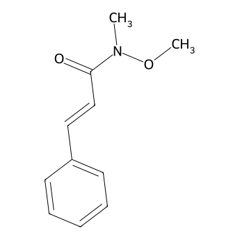 CON(C)C(=O)/C=C/c1ccccc1